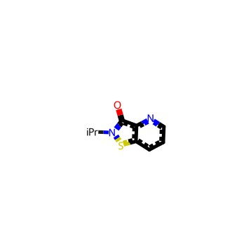 CC(C)n1sc2cccnc2c1=O